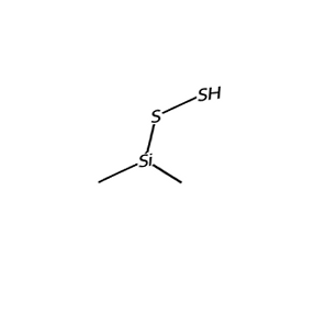 C[Si](C)SS